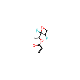 C=CC(=O)OC(C)C1(F)OCC1F